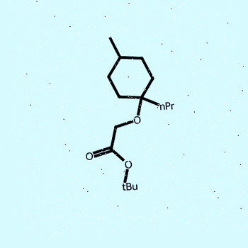 CCCC1(OCC(=O)OC(C)(C)C)CCC(C)CC1